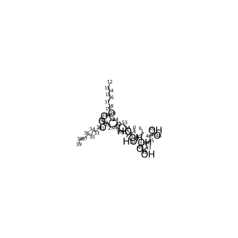 CCC(C)(O)O.CCCC(O)O.CCCCCCCCOC(=O)c1ccccc1C(=O)OCCCCCCCC.O=C(O)CCCCC(=O)O.c1ccccc1